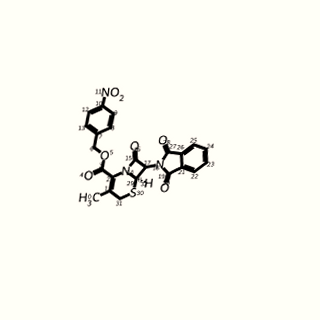 CC1=C(C(=O)OCc2ccc([N+](=O)[O-])cc2)N2C(=O)C(N3C(=O)c4ccccc4C3=O)[C@H]2SC1